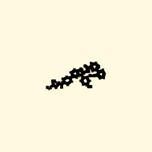 COc1ccccc1-c1cc(C(=O)Nc2nc3ccc(N4CCC(NCCN(C)C)CC4)cc3n2[C@H]2CC[C@@H](O)CC2)ccn1